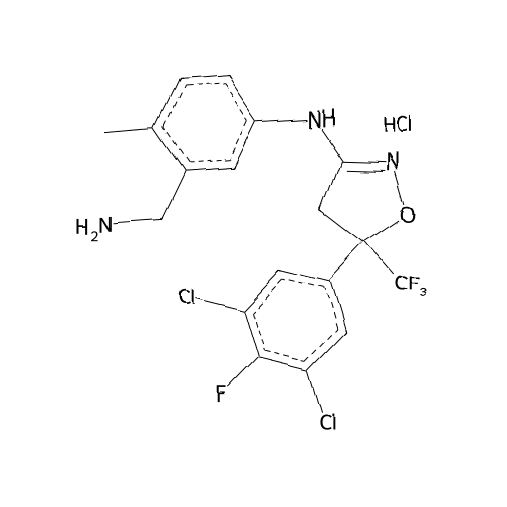 Cc1ccc(NC2=NOC(c3cc(Cl)c(F)c(Cl)c3)(C(F)(F)F)C2)cc1CN.Cl